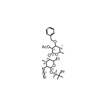 CCC1O[C@@H](O[Si](C)(C)C(C)(C)C(C)C)C(N=[N+]=[N-])[C@@H](C)[C@@H]1O[C@@H]1OC(C)[C@@H](C)C(OCc2ccccc2)[C@@H]1OC(C)=O